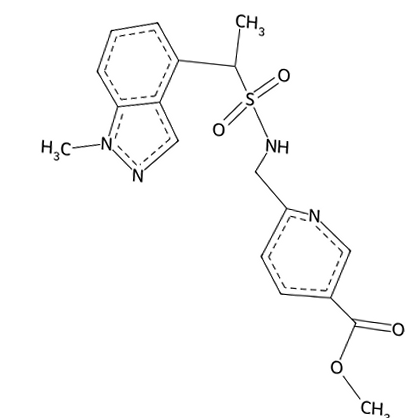 COC(=O)c1ccc(CNS(=O)(=O)C(C)c2cccc3c2cnn3C)nc1